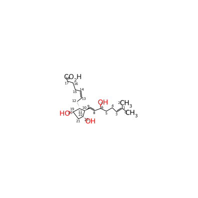 CC(C)=CCC[C@H](O)/C=C/[C@@H]1[C@@H](C/C=C\CCCC(=O)O)[C@@H](O)C[C@H]1O